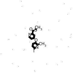 COC(=O)c1cc(Oc2ccc(I)nc2C)ccn1